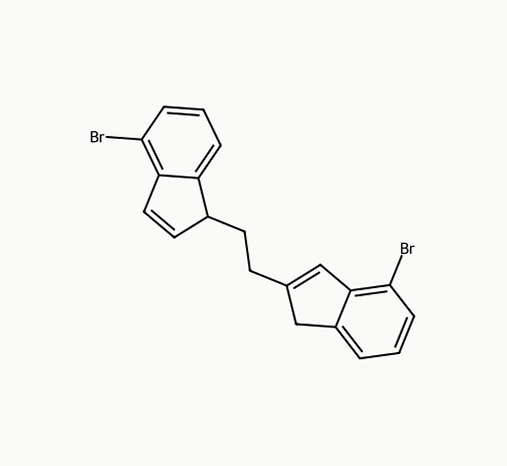 Brc1cccc2c1C=C(CCC1C=Cc3c(Br)cccc31)C2